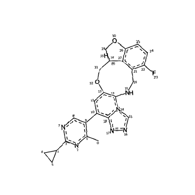 Cc1nc(C2CC2)ncc1-c1cc2c(n3cnnc13)NCc1c(F)ccc3c1[C@H](CO3)CO2